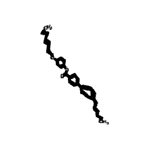 C=CCCCCCOc1ccc(OC(=O)c2ccc(-c3ccc(CCCCCC)cc3)cc2)cc1